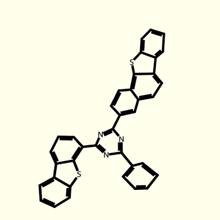 c1ccc(-c2nc(-c3ccc4c(ccc5c6ccccc6sc45)c3)nc(-c3cccc4c3sc3ccccc34)n2)cc1